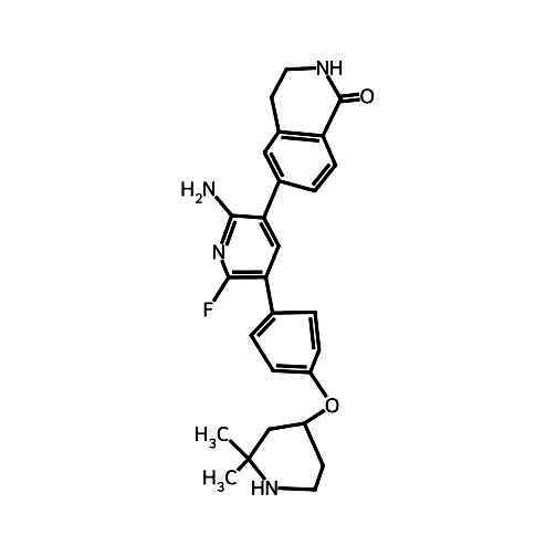 CC1(C)CC(Oc2ccc(-c3cc(-c4ccc5c(c4)CCNC5=O)c(N)nc3F)cc2)CCN1